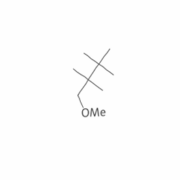 COCC(C)(C)C(C)(C)C